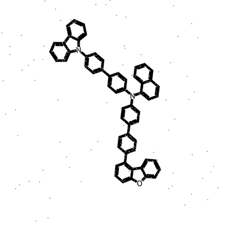 c1ccc2c(N(c3ccc(-c4ccc(-c5cccc6oc7ccccc7c56)cc4)cc3)c3ccc(-c4ccc(-n5c6ccccc6c6ccccc65)cc4)cc3)cccc2c1